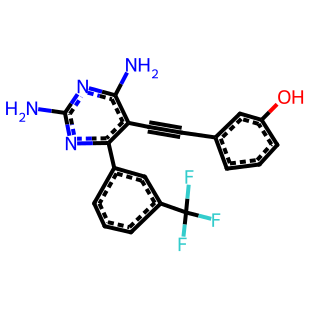 Nc1nc(N)c(C#Cc2cccc(O)c2)c(-c2cccc(C(F)(F)F)c2)n1